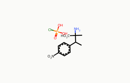 CC(c1ccc([N+](=O)[O-])cc1)C(C)(N)C(=O)O.O=P(O)(O)Cl